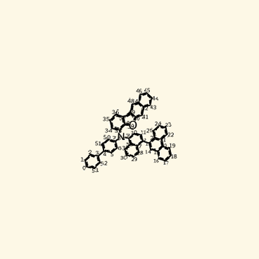 c1ccc(-c2ccc(N(c3ccc(-c4cc5ccccc5c5ccccc45)c4ccccc34)c3cccc4c3oc3cc5ccccc5cc34)cc2)cc1